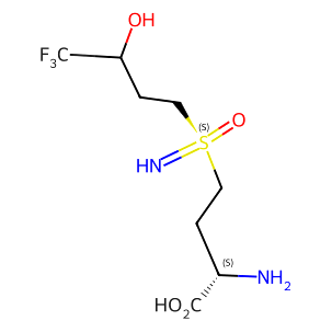 N=[S@@](=O)(CCC(O)C(F)(F)F)CC[C@H](N)C(=O)O